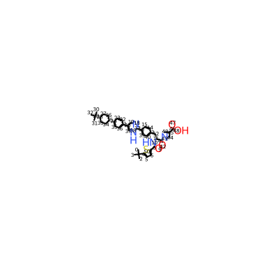 CC(C)(C)c1ccc(C(=O)N[C@@H](Cc2ccc(C3N=CC(c4ccc([C@H]5CC[C@@H](C(C)(C)C)CC5)cc4)=CN3)cc2)C(=O)N2CC(C(=O)O)C2)s1